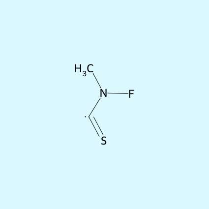 CN(F)[C]=S